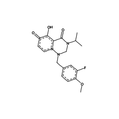 COc1ccc(CN2CN(C(C)C)C(=O)c3c(O)c(=O)ccn32)cc1F